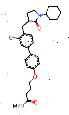 COC(=O)CCCOc1ccc(-c2ccc(CC3CCN(C4CCCCC4)C3=O)c(Cl)c2)cc1